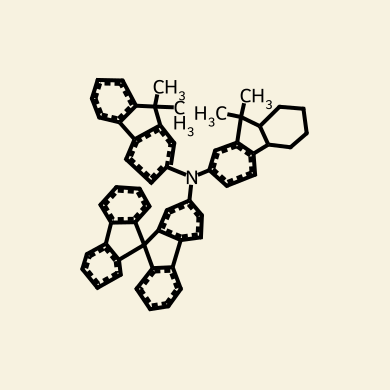 CC1(C)c2ccccc2-c2ccc(N(c3ccc4c(c3)C3(c5ccccc5-c5ccccc53)c3ccccc3-4)c3ccc4c(c3)C(C)(C)C3CCCCC43)cc21